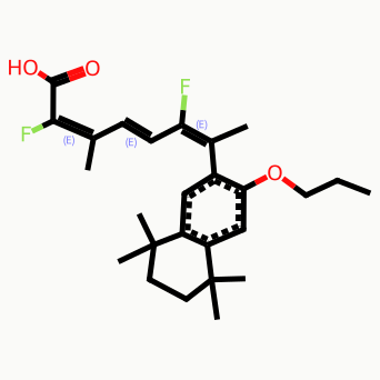 CCCOc1cc2c(cc1\C(C)=C(F)/C=C/C(C)=C(/F)C(=O)O)C(C)(C)CCC2(C)C